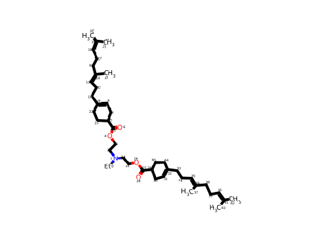 CCN(CCOC(=O)C1CC=C(CC/C=C(\C)CCC=C(C)C)CC1)CCOC(=O)C1CC=C(CC/C=C(\C)CCC=C(C)C)CC1